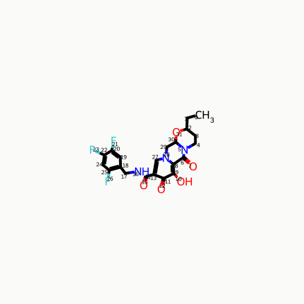 CCC1CCN2C(=O)c3c(O)c(=O)c(C(=O)NCc4cc(F)c(F)cc4F)cn3CC2O1